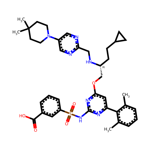 Cc1cccc(C)c1-c1cc(OC[C@@H](CCC2CC2)NCc2ncc(N3CCC(C)(C)CC3)cn2)nc(NS(=O)(=O)c2cccc(C(=O)O)c2)n1